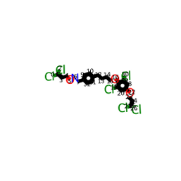 ClC(Cl)=CCON=Cc1ccc(CCCCOc2c(Cl)cc(OCC=C(Cl)Cl)cc2Cl)cc1